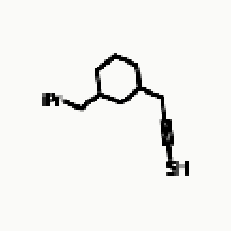 CC(C)CC1CCCC(CC#CS)C1